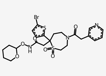 O=C(CC1(c2ccc(Br)s2)CCN(C(=O)Cc2cccnc2)CCS1(=O)=O)NOC1CCCCO1